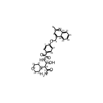 Cc1cc(COc2ccc(S(=O)(=O)NC(O)C(C(N)=O)N3CCOCC3)cc2)c2ccccc2n1